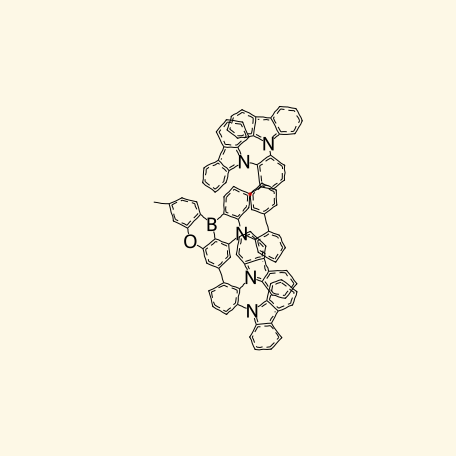 Cc1ccc2c(c1)Oc1cc(-c3cccc(-n4c5ccccc5c5ccccc54)c3-n3c4ccccc4c4ccccc43)cc3c1B2c1ccc(-c2cccc(-n4c5ccccc5c5ccccc54)c2-n2c4ccccc4c4ccccc42)cc1N3c1ccccc1-c1ccccc1